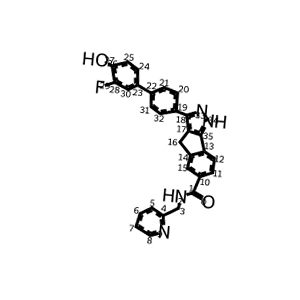 O=C(NCc1ccccn1)c1ccc2c(c1)Cc1c(-c3ccc(-c4ccc(O)c(F)c4)cc3)n[nH]c1-2